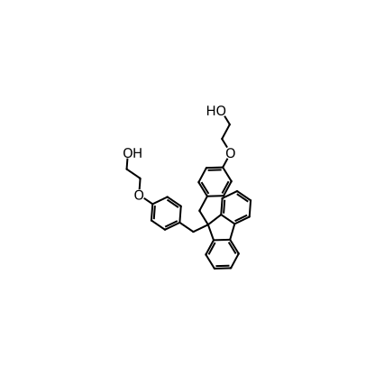 OCCOc1ccc(CC2(Cc3ccc(OCCO)cc3)c3ccccc3-c3ccccc32)cc1